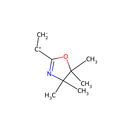 [CH2-][CH+]C1=NC(C)(C)C(C)(C)O1